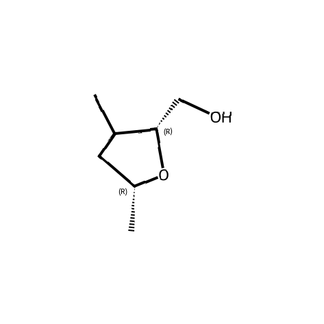 CC1C[C@@H](C)O[C@H]1CO